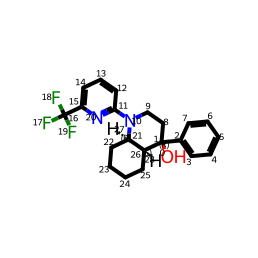 O[C@]1(c2ccccc2)CCN(c2cccc(C(F)(F)F)n2)[C@@H]2CCCC[C@@H]21